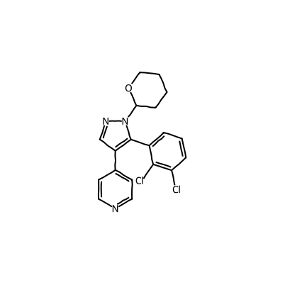 Clc1cccc(-c2c(-c3ccncc3)cnn2C2CCCCO2)c1Cl